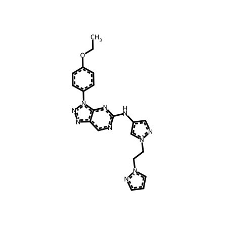 CCOc1ccc(-n2nnc3cnc(Nc4cnn(CCn5cccn5)c4)nc32)cc1